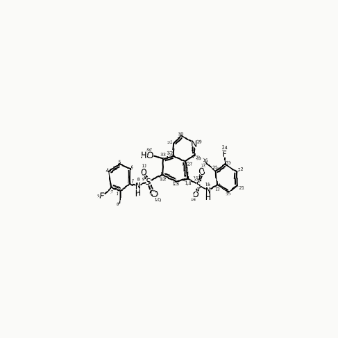 Cc1c(F)cccc1NS(=O)(=O)c1cc(S(=O)(=O)Nc2cccc(F)c2C)c2cnccc2c1O